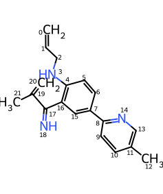 C=CCNc1ccc(-c2ccc(C)cn2)cc1C(=N)C(=C)C